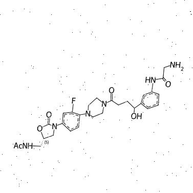 CC(=O)NC[C@H]1CN(c2ccc(N3CCN(C(=O)CCC(O)c4cccc(NC(=O)CN)c4)CC3)c(F)c2)C(=O)O1